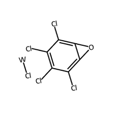 Clc1c(Cl)c(Cl)c2c(c1Cl)O2.[Cl][W]